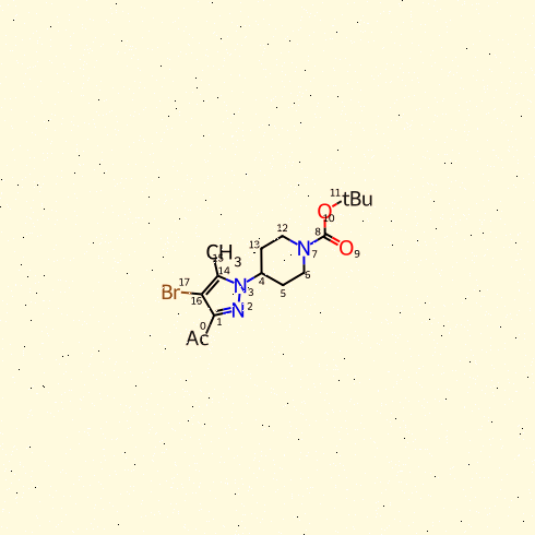 CC(=O)c1nn(C2CCN(C(=O)OC(C)(C)C)CC2)c(C)c1Br